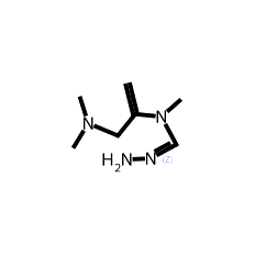 C=C(CN(C)C)N(C)/C=N\N